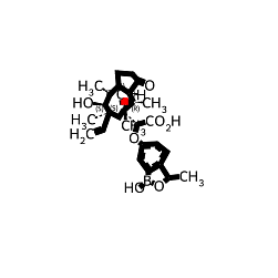 C=C[C@]1(C)C[C@@H](C(Oc2ccc3c(c2)B(O)OC3C)C(=O)O)[C@@]2(C)[C@H](C)CC[C@]3(CCC(=O)[C@H]32)[C@@H](C)[C@@H]1O